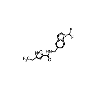 O=C(NCc1ccc2c(ccn2C(F)F)c1)c1cc(CC(F)(F)F)no1